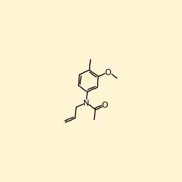 C=CCN(C(C)=O)c1ccc(C)c(OC)c1